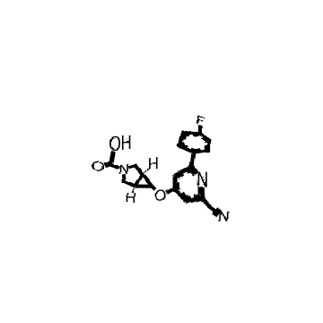 N#Cc1cc(OC2[C@H]3CN(C(=O)O)C[C@@H]23)cc(-c2ccc(F)cc2)n1